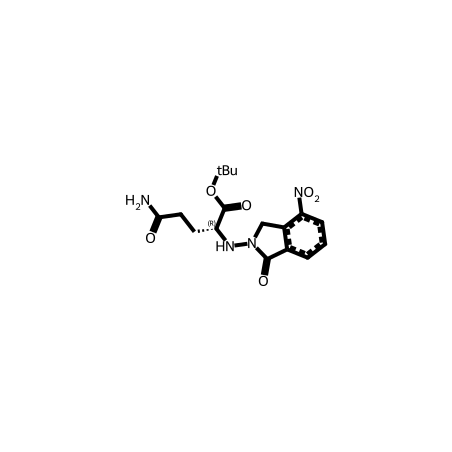 CC(C)(C)OC(=O)[C@@H](CCC(N)=O)NN1Cc2c(cccc2[N+](=O)[O-])C1=O